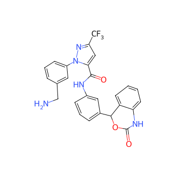 NCc1cccc(-n2nc(C(F)(F)F)cc2C(=O)Nc2cccc(C3OC(=O)Nc4ccccc43)c2)c1